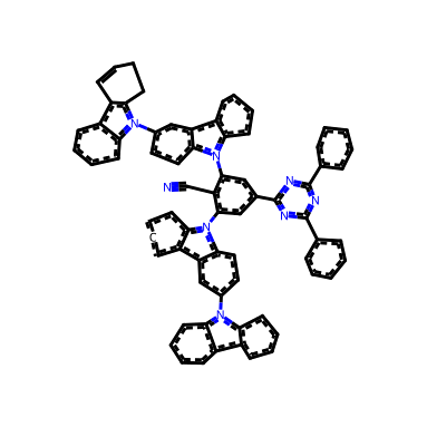 N#Cc1c(-n2c3ccccc3c3cc(-n4c5c(c6ccccc64)C=CCC5)ccc32)cc(-c2nc(-c3ccccc3)nc(-c3ccccc3)n2)cc1-n1c2ccccc2c2cc(-n3c4ccccc4c4ccccc43)ccc21